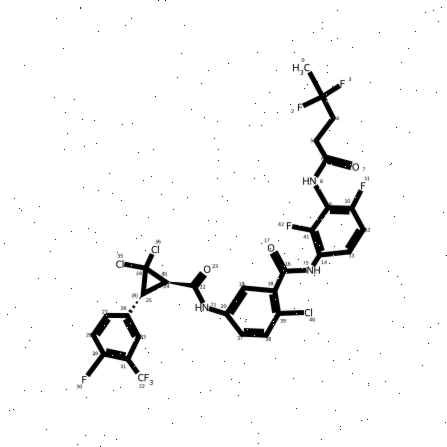 CC(F)(F)CCC(=O)Nc1c(F)ccc(NC(=O)c2cc(NC(=O)[C@H]3[C@H](c4ccc(F)c(C(F)(F)F)c4)C3(Cl)Cl)ccc2Cl)c1F